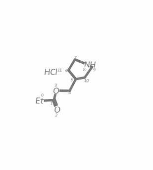 CCC(=O)OCC1CCNCC1.Cl